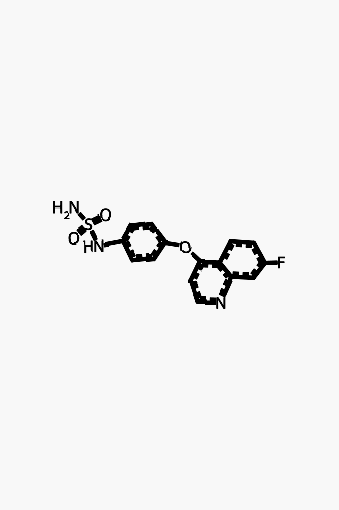 NS(=O)(=O)Nc1ccc(Oc2ccnc3cc(F)ccc23)cc1